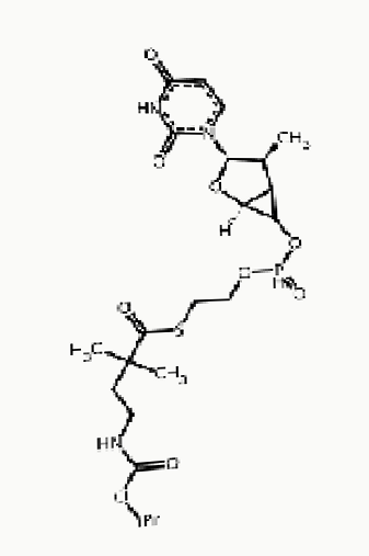 CC(C)OC(=O)NCCC(C)(C)C(=O)SCCO[PH](=O)OC1C2[C@@H]1O[C@@H](n1ccc(=O)[nH]c1=O)[C@H]2C